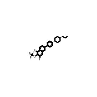 CCC[C@H]1CC[C@H](c2ccc(-c3ccc4c(F)c(OC(F)(F)F)c(F)cc4c3)cc2)CC1